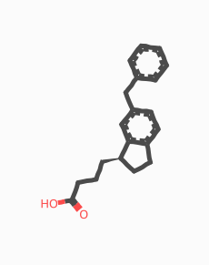 O=C(O)CCC[C@@H]1CCc2ccc(Cc3ccccc3)cc21